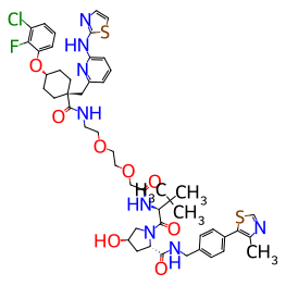 Cc1ncsc1-c1ccc(CNC(=O)[C@@H]2C[C@@H](O)CN2C(=O)[C@@H](NC(=O)COCCOCCNC(=O)[C@]2(Cc3cccc(Nc4nccs4)n3)CC[C@@H](Oc3cccc(Cl)c3F)CC2)C(C)(C)C)cc1